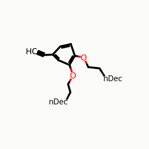 C#Cc1ccc(OCCCCCCCCCCCC)c(OCCCCCCCCCCCC)c1